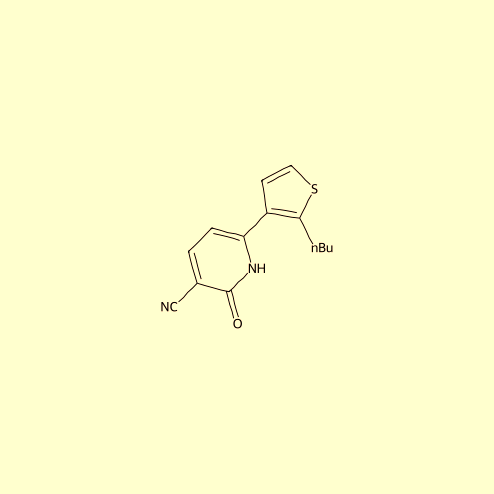 CCCCc1sccc1-c1ccc(C#N)c(=O)[nH]1